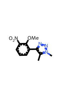 COc1c(-c2nnn(C)c2C)cccc1[N+](=O)[O-]